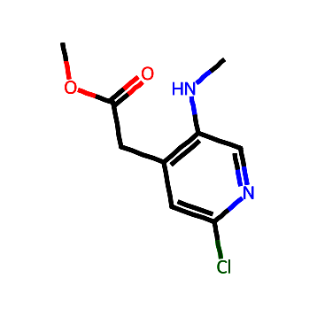 CNc1cnc(Cl)cc1CC(=O)OC